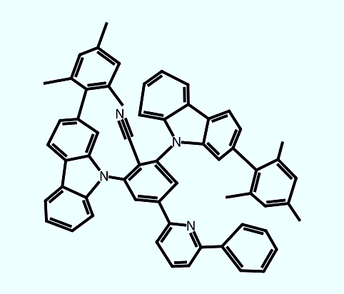 Cc1cc(C)c(-c2ccc3c4ccccc4n(-c4cc(-c5cccc(-c6ccccc6)n5)cc(-n5c6ccccc6c6ccc(-c7c(C)cc(C)cc7C)cc65)c4C#N)c3c2)c(C)c1